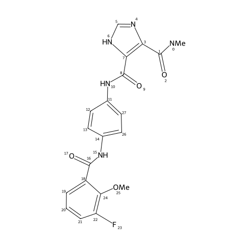 CNC(=O)c1nc[nH]c1C(=O)Nc1ccc(NC(=O)c2cccc(F)c2OC)cc1